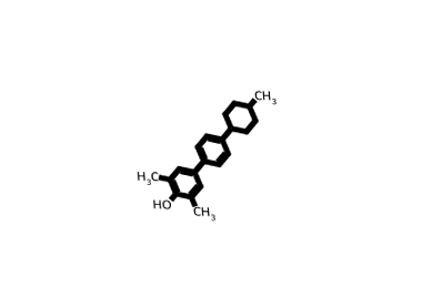 Cc1cc(-c2ccc(C3CCC(C)CC3)cc2)cc(C)c1O